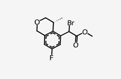 COC(=O)C(Br)c1cc(F)cc2c1[C@@H](C)COC2